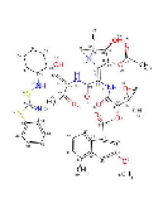 COc1cc(C(=O)O[C@H](C(=O)N/C(C(=O)N/C(=C\O)C(C)=O)=C2\[C@@H](OC(C)=O)[C@H](O)[C@@H]3CN23)[C@]2(C)CO2)c2cccc(C)c2c1.c1ccc2sc(SNC3CCCCC3)nc2c1